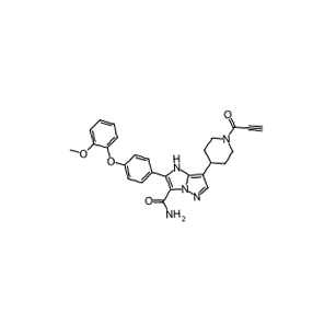 C#CC(=O)N1CCC(c2cnn3c(C(N)=O)c(-c4ccc(Oc5ccccc5OC)cc4)[nH]c23)CC1